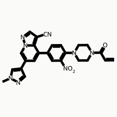 C=CC(=O)N1CCN(c2ccc(-c3cc(-c4cnn(C)c4)cn4ncc(C#N)c34)cc2[N+](=O)[O-])CC1